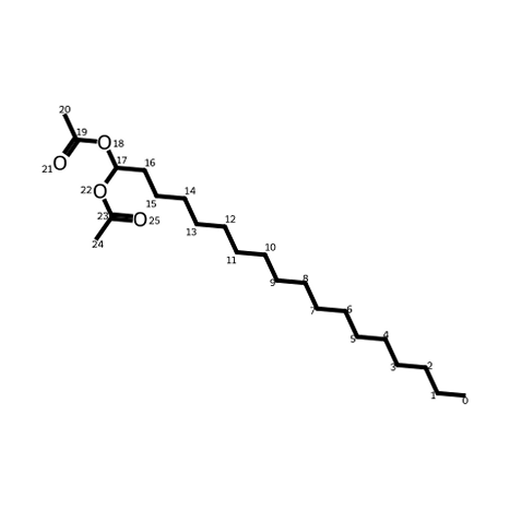 CCCCCCCCCCCCCCCCCC(OC(C)=O)OC(C)=O